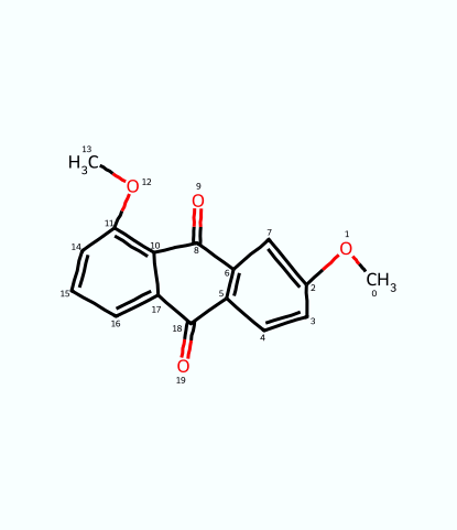 COc1ccc2c(c1)C(=O)c1c(OC)cccc1C2=O